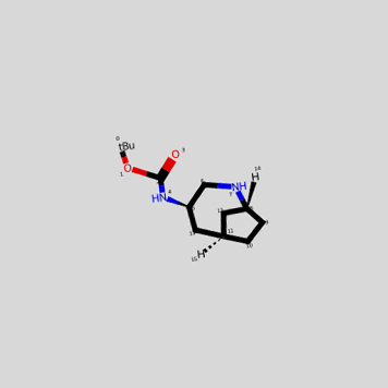 CC(C)(C)OC(=O)N[C@H]1CN[C@@H]2CC[C@H](C2)C1